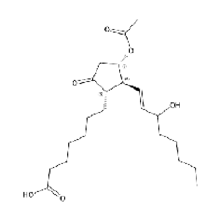 CCCCCC(O)C=C[C@@H]1[C@@H](OC(C)=O)CC(=O)[C@H]1CCCCCCC(=O)O